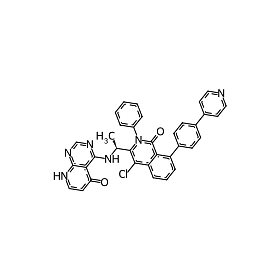 C[C@H](Nc1ncnc2[nH]ccc(=O)c12)c1c(Cl)c2cccc(-c3ccc(-c4ccncc4)cc3)c2c(=O)n1-c1ccccc1